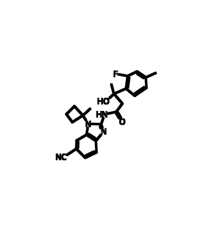 Cc1ccc(C(C)(O)CC(=O)Nc2nc3ccc(C#N)cc3n2C2(C)CCC2)c(F)c1